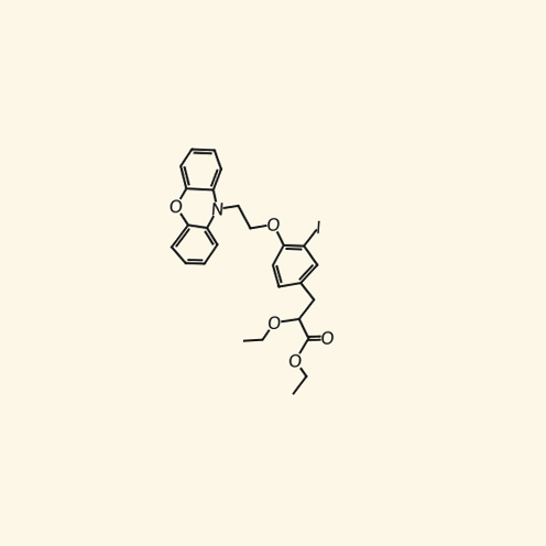 CCOC(=O)C(Cc1ccc(OCCN2c3ccccc3Oc3ccccc32)c(I)c1)OCC